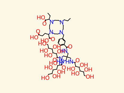 CCCN1CCN(Cc2cccc(C(=O)NCC(CNC(=O)C(O)C(O)C(O)C(O)CO)(CNC(=O)C(O)C(O)C(O)C(O)CO)CNC(=O)C(O)C(O)C(O)C(O)CO)c2)CCN(C(CCC(=O)O)C(=O)O)CCN(C(CC)C(=O)O)CC1